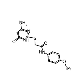 CC(C)Oc1ccc(NC(=O)CSc2nc(N)cc(=O)[nH]2)cc1